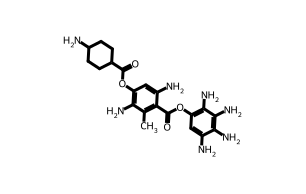 Cc1c(N)c(OC(=O)C2CCC(N)CC2)cc(N)c1C(=O)Oc1cc(N)c(N)c(N)c1N